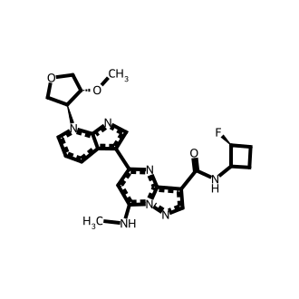 CNc1cc(-c2cnc3n([C@H]4COC[C@@H]4OC)cccc2-3)nc2c(C(=O)NC3CC[C@@H]3F)cnn12